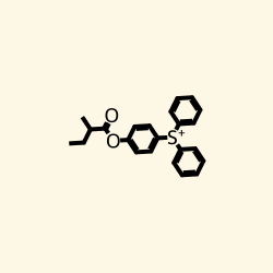 CCC(C)C(=O)Oc1ccc([S+](c2ccccc2)c2ccccc2)cc1